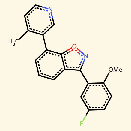 COc1ccc(F)cc1-c1noc2c(-c3cnccc3C)cccc12